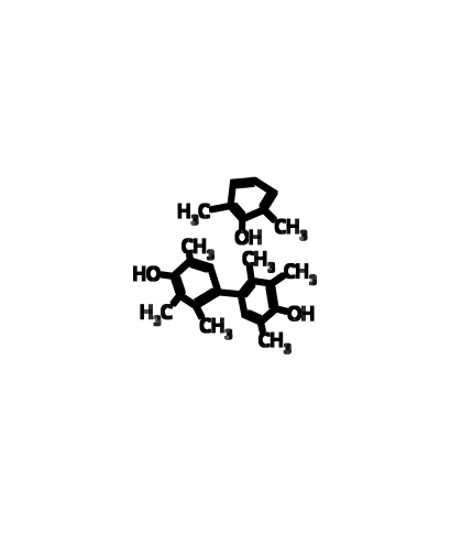 Cc1cc(-c2cc(C)c(O)c(C)c2C)c(C)c(C)c1O.Cc1cccc(C)c1O